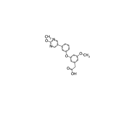 COc1cc(CC(=O)O)cc(Oc2cccc(-c3cnc(OC)nc3)c2)c1